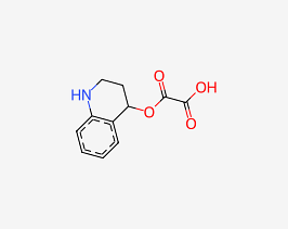 O=C(O)C(=O)OC1CCNc2ccccc21